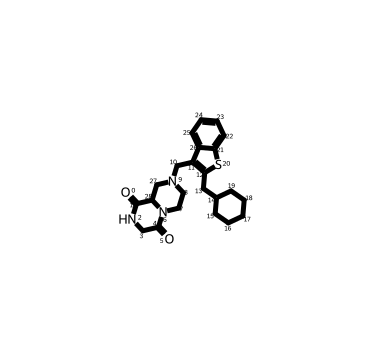 O=C1NCC(=O)N2CCN(Cc3c(CC4CCCCC4)sc4ccccc34)CC12